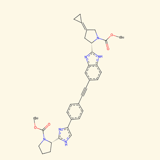 CC(C)(C)OC(=O)N1CCC[C@H]1c1nc(-c2ccc(C#Cc3ccc4[nH]c([C@@H]5CC(=C6CC6)CN5C(=O)OC(C)(C)C)nc4c3)cc2)c[nH]1